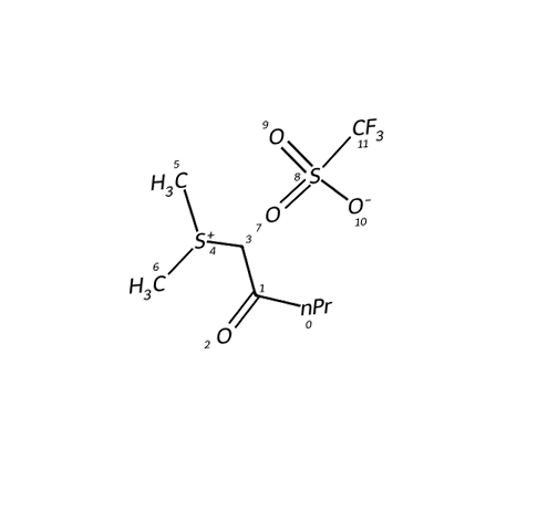 CCCC(=O)C[S+](C)C.O=S(=O)([O-])C(F)(F)F